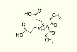 C=CC(=O)N(C(=O)C=C)[SH](CCC(=O)O)SCCC(=O)O